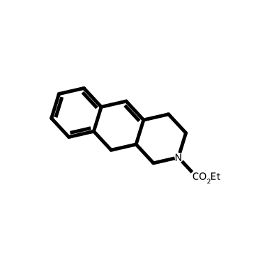 CCOC(=O)N1CCC2=Cc3ccccc3CC2C1